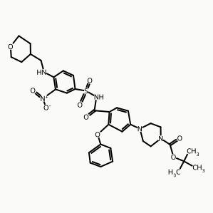 CC(C)(C)OC(=O)N1CCN(c2ccc(C(=O)NS(=O)(=O)c3ccc(NCC4CCOCC4)c([N+](=O)[O-])c3)c(Oc3ccccc3)c2)CC1